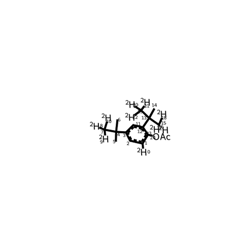 [2H]c1cc(C(C)(C)C([2H])([2H])[2H])cc(C(C)(C([2H])([2H])[2H])C([2H])([2H])[2H])c1OC(C)=O